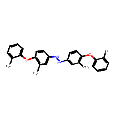 CCc1ccccc1Oc1ccc(NNc2ccc(Oc3ccccc3C(F)(F)F)c(C)c2)cc1C